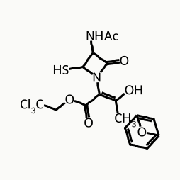 CC(=O)NC1C(=O)N(C(C(=O)OCC(Cl)(Cl)Cl)=C(C)O)C1S.c1cc2cc(c1)O2